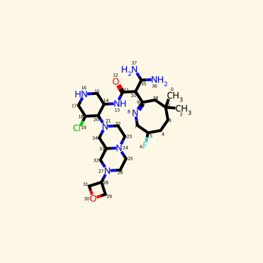 CC1(C)CCC(F)C/N=C(/C(C(=O)NC2CNCC(Cl)C2N2CCN3CCN(C4COC4)CC3C2)C(N)N)C1